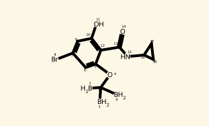 BC(B)(B)Oc1cc(Br)cc(O)c1C(=O)NC1CC1